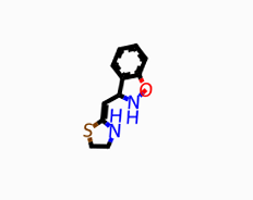 C(=C1NCCS1)C1NOc2ccccc21